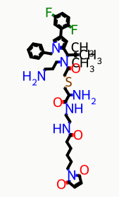 CC(C)(C)C(c1cc(-c2cc(F)ccc2F)cn1Cc1ccccc1)N(CCCN)C(=O)CSCC(N)C(=O)NCCNC(=O)CCCCCN1C(=O)C=CC1=O